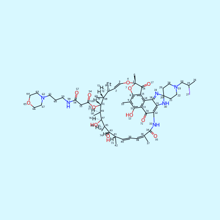 CC[C@H]1/C=C/O[C@@]2(C)Oc3c(C)c(O)c4c(c3C2=O)C2=NC3(CCN(CC(C)I)CC3)NC2=C(NC(=O)/C(C)=C\C=C\[C@H](C)[C@H](O)[C@@H](C)[C@@H](O)[C@@H](C)[C@H](OC(=O)CC(=O)NCCCN2CCOCC2)[C@@H]1C)C4=O